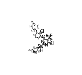 CN1CCN(c2cccc(Oc3nc(NSc4cnn(C)c4)nc(Cl)c3C(F)(F)F)c2Cl)CC1